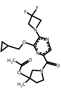 CC(=O)OC1(C)CCN(C(=O)c2cnc(N3CC(F)(F)C3)c(OCC3CC3)n2)C1